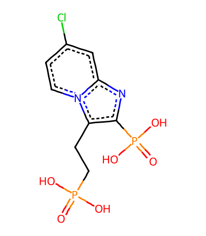 O=P(O)(O)CCc1c(P(=O)(O)O)nc2cc(Cl)ccn12